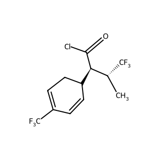 C[C@H]([C@H](C(=O)Cl)C1C=CC(C(F)(F)F)=CC1)C(F)(F)F